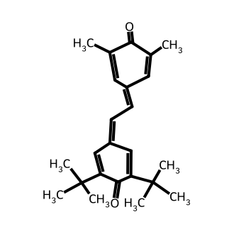 CC1=CC(=CC=C2C=C(C(C)(C)C)C(=O)C(C(C)(C)C)=C2)C=C(C)C1=O